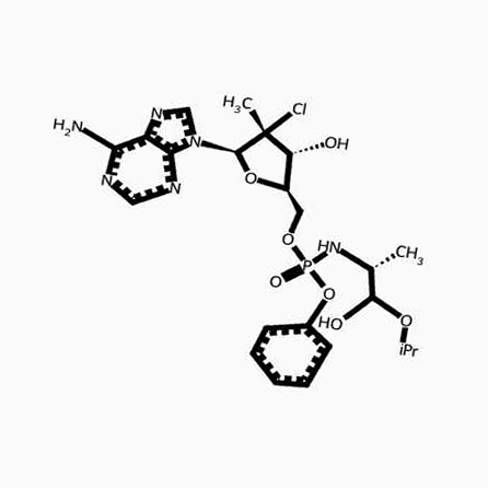 CC(C)OC(O)[C@@H](C)NP(=O)(OC[C@H]1O[C@@H](n2cnc3c(N)ncnc32)[C@](C)(Cl)[C@@H]1O)Oc1ccccc1